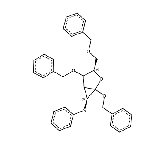 c1ccc(COC[C@H]2OC3(OCc4ccccc4)C(C2OCc2ccccc2)[C@@H]3Sc2ccccc2)cc1